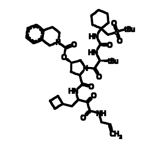 C=CCNC(=O)C(=O)C(CC1CCC1)NC(=O)C1C[C@@H](OC(=O)N2CCc3ccccc3C2)CN1C(=O)[C@@H](NC(=O)NC1(CS(=O)(=O)C(C)(C)C)CCCCC1)C(C)(C)C